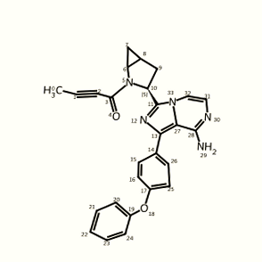 CC#CC(=O)N1C2CC2C[C@H]1c1nc(-c2ccc(Oc3ccccc3)cc2)c2c(N)nccn12